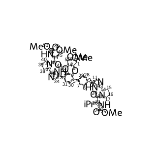 COCCOc1c(-c2ccc(-c3cnc([C@@H]4CCCN4C(=O)[C@@H](NC(=O)OC)C(C)C)[nH]3)cc2)ccc(-c2cnc([C@@H]3CCCN3C(=O)[C@H](COC)NC(=O)OC)[nH]2)c1OCCOC